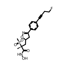 C[C@@](CC1CC(c2ccc(C#CCCF)cc2)=NO1)(C(=O)NO)S(C)(=O)=O